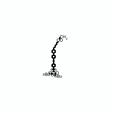 C=CC(=O)OCCCCCCC1CCC(c2ccc(C#Cc3ccc(C4O[C@@H](C(=O)OCCCC)[C@H](C(=O)OCCCC)O4)cc3)cc2)CC1